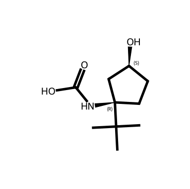 CC(C)(C)[C@@]1(NC(=O)O)CC[C@H](O)C1